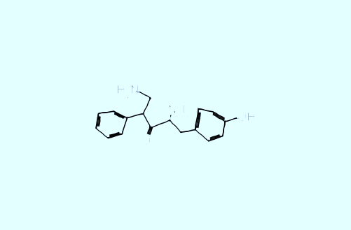 NCC(C(=O)[C@@H](N)Cc1ccc(O)cc1)c1ccccc1